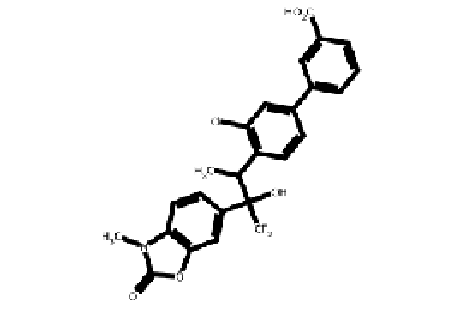 CC(c1ccc(-c2cccc(C(=O)O)c2)cc1Cl)C(O)(c1ccc2c(c1)oc(=O)n2C)C(F)(F)F